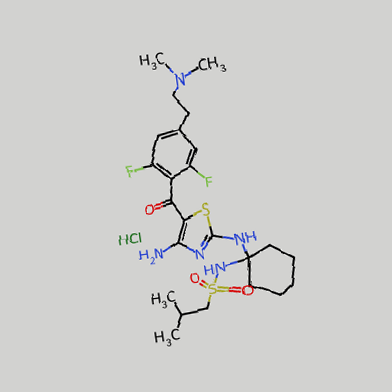 CC(C)CS(=O)(=O)NC1(Nc2nc(N)c(C(=O)c3c(F)cc(CCN(C)C)cc3F)s2)CCCCC1.Cl